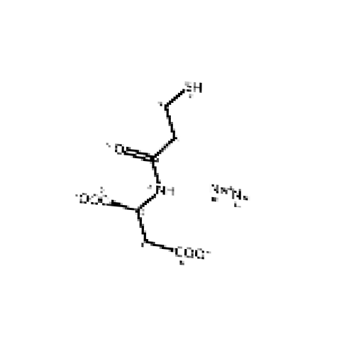 O=C([O-])C[C@H](NC(=O)CCS)C(=O)[O-].[Na+].[Na+]